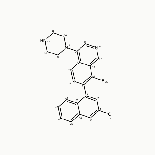 Oc1cc(-c2ncc3c(N4CCNCC4)cncc3c2F)c2ccccc2c1